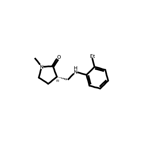 CCc1ccccc1NC[C@@H]1CCN(C)C1=O